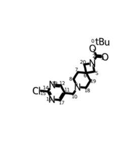 CC(C)(C)OC(=O)N1CC2(CCN(Cc3cnc(Cl)nc3)CC2)C1